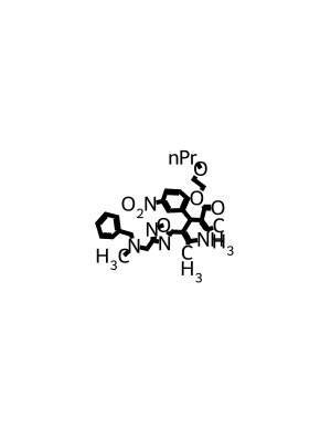 CCCOCCOC(=O)C1=C(C)NC(C)=C(c2nc(CN(C)Cc3ccccc3)no2)C1c1cccc([N+](=O)[O-])c1